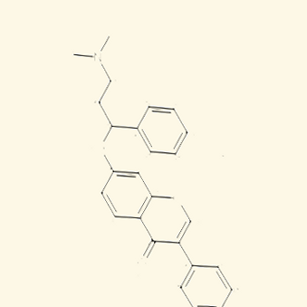 CN(C)CCC(Oc1ccc2c(=O)c(-c3ccccc3)coc2c1)c1ccccc1.Cl